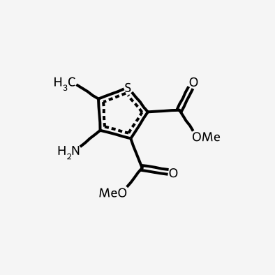 COC(=O)c1sc(C)c(N)c1C(=O)OC